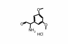 COc1cc(OC)cc(C(N)C=O)c1.Cl